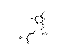 CCC[C@H](C/C=C/C(=O)C(C)C)Oc1cc(C)cc(C)n1